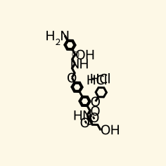 Cl.Cl.Nc1ccc([C@H](O)CNCCOc2ccc(-c3ccc(C(=O)NS(=O)(=O)CCCO)c(OC4CCCCC4)c3)cc2)cc1